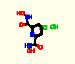 Cl.Cl.O=C(NO)c1cccc(C(=O)NO)n1